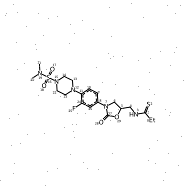 CCC(=S)NCC1CN(c2ccc(N3CCN(S(=O)(=O)N(C)C)CC3)c(F)c2)C(=O)O1